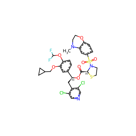 CN1CCOc2ccc(S(=O)(=O)N3CCS[C@H]3C(=O)O[C@@H](Cc3c(Cl)cncc3Cl)c3ccc(OC(F)F)c(OCC4CC4)c3)cc21